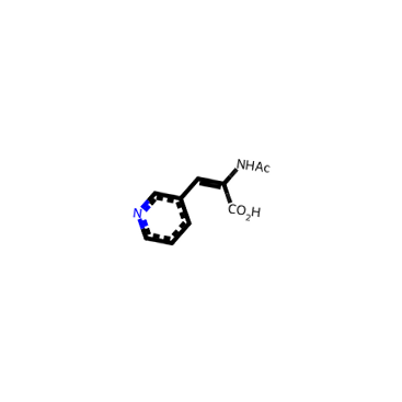 CC(=O)N/C(=C/c1cccnc1)C(=O)O